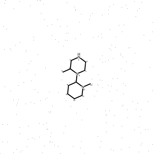 CC1CNCCN1C1C[CH]CCN1C